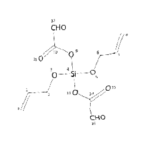 C=CCO[Si](OCC=C)(OC(=O)C=O)OC(=O)C=O